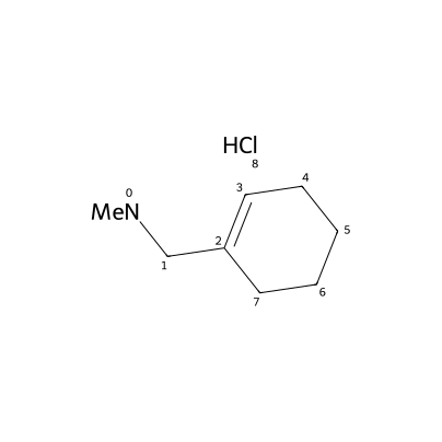 CNCC1=CCCCC1.Cl